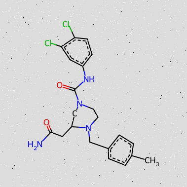 Cc1ccc(CN2CCN(C(=O)Nc3ccc(Cl)c(Cl)c3)CC2CC(N)=O)cc1